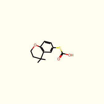 CC1(C)CCOc2ccc(SC(=O)O)cc21